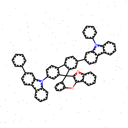 c1ccc(-c2ccc3c4ccccc4n(-c4ccc5c(c4)C4(c6ccccc6Oc6c4oc4ccccc64)c4cc(-c6ccc7c8ccccc8n(-c8ccccc8)c7c6)ccc4-5)c3c2)cc1